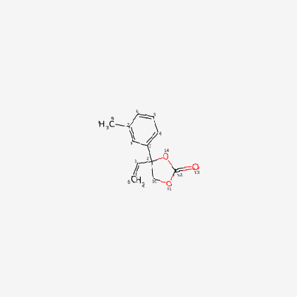 C=CC1(c2cccc(C)c2)COC(=O)O1